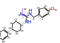 COc1ccc(CN/C(=N\I)N[C@H]2CC[C@@H](c3ccccc3)CC2)cc1